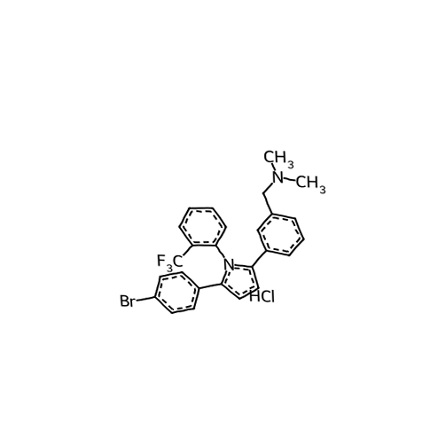 CN(C)Cc1cccc(-c2ccc(-c3ccc(Br)cc3)n2-c2ccccc2C(F)(F)F)c1.Cl